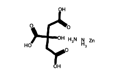 N.N.O=C(O)CC(O)(CC(=O)O)C(=O)O.[Zn]